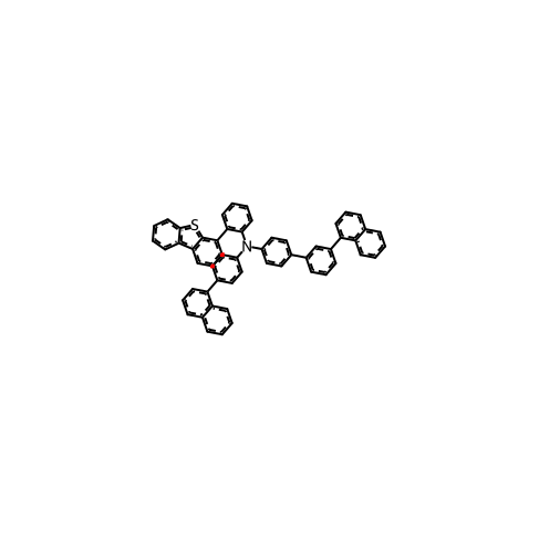 c1cc(-c2ccc(N(c3ccc(-c4cccc5ccccc45)cc3)c3ccccc3-c3cccc4c3sc3ccccc34)cc2)cc(-c2cccc3ccccc23)c1